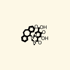 CN1CN(C2c3ccccc3CCc3ccccc32)n2cc(C(=O)O)c(=O)c(O)c2C1=O